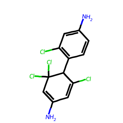 NC1=CC(Cl)(Cl)C(c2ccc(N)cc2Cl)C(Cl)=C1